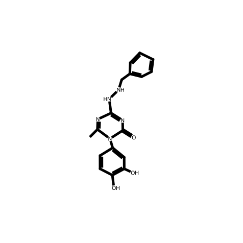 Cc1nc(NNCc2ccccc2)nc(=O)n1-c1ccc(O)c(O)c1